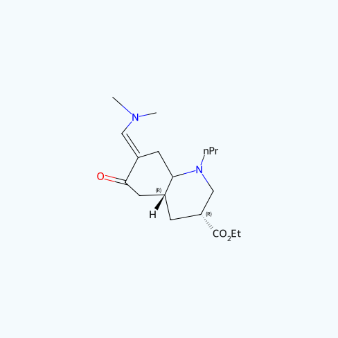 CCCN1C[C@H](C(=O)OCC)C[C@@H]2CC(=O)C(=CN(C)C)CC21